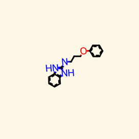 c1ccc(OCCCN=c2[nH]c3ccccc3[nH]2)cc1